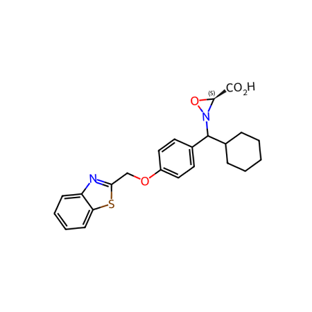 O=C(O)[C@@H]1ON1C(c1ccc(OCc2nc3ccccc3s2)cc1)C1CCCCC1